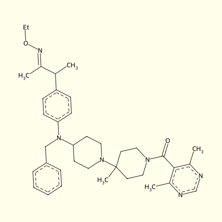 CCO/N=C(\C)C(C)c1ccc(N(Cc2ccccc2)C2CCN(C3(C)CCN(C(=O)c4c(C)ncnc4C)CC3)CC2)cc1